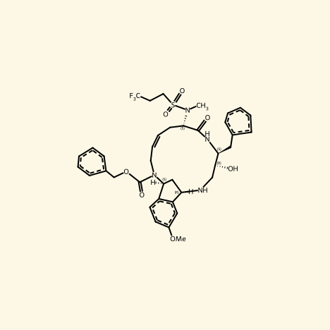 COc1ccc2c(c1)[C@H]1C[C@@H]2N(C(=O)OCc2ccccc2)CC=CC[C@H](N(C)S(=O)(=O)CCC(F)(F)F)C(=O)N[C@@H](Cc2ccccc2)[C@H](O)CN1